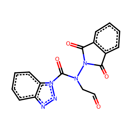 O=CCN(C(=O)n1nnc2ccccc21)N1C(=O)c2ccccc2C1=O